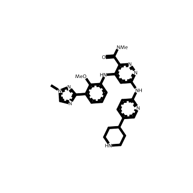 CNC(=O)c1nnc(Nc2ccc(C3CCNCC3)cn2)cc1Nc1cccc(-c2ncn(C)n2)c1OC